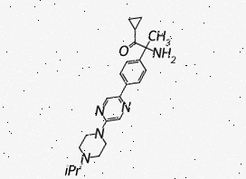 CC(C)N1CCN(c2cnc(-c3ccc(C(C)(N)C(=O)C4CC4)cc3)cn2)CC1